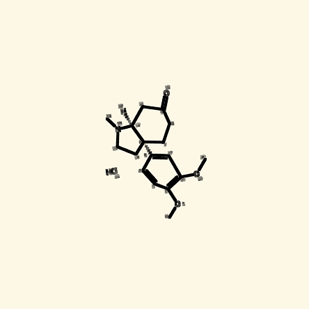 COc1ccc([C@@]23CCC(=O)C[C@@H]2N(C)CC3)cc1OC.Cl